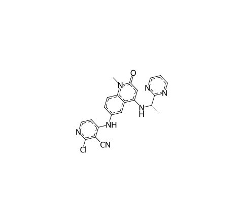 C[C@H](Nc1cc(=O)n(C)c2ccc(Nc3ccnc(Cl)c3C#N)cc12)c1ncccn1